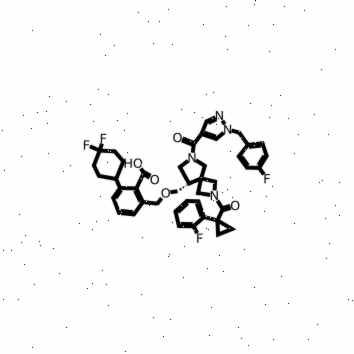 O=C(O)c1c(COC[C@@H]2CN(C(=O)c3cnn(Cc4ccc(F)cc4)c3)CC23CN(C(=O)C2(c4ccccc4F)CC2)C3)cccc1C1CCC(F)(F)CC1